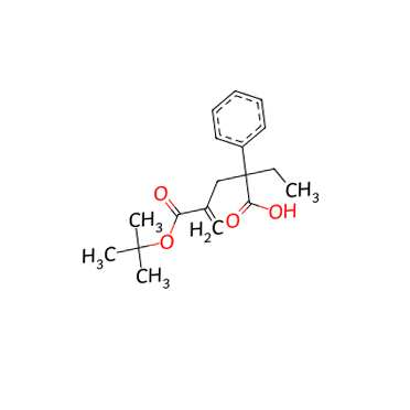 C=C(CC(CC)(C(=O)O)c1ccccc1)C(=O)OC(C)(C)C